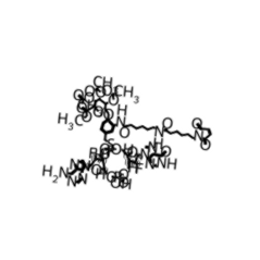 COC(=O)C1OC(Oc2ccc(CSP3(=O)OC[C@H]4O[C@@H](n5cnc6c(=O)[nH]cnc65)[C@H](F)[C@@H]4COP(=O)(O)OC[C@H]4O[C@@H](n5cnc6c(N)ncnc65)[C@H](F)[C@@H]4O3)cc2NC(=O)CCCCCNC(=O)CCCCCN2C(=O)C=CC2=O)C(OC(C)=O)C(OC(C)=O)C1OC(C)=O